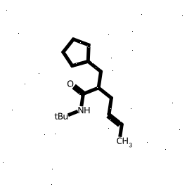 C/C=C/CC(CC1CCCC1)C(=O)NC(C)(C)C